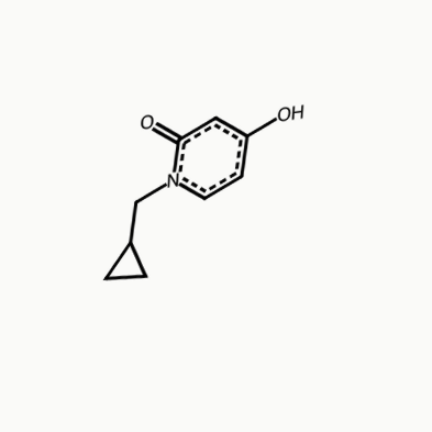 O=c1cc(O)ccn1CC1CC1